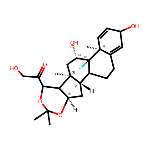 CC1(C)OC(C(=O)CO)C2[C@@H](C[C@H]3C4CCC5=CC(O)C=C[C@]5(C)[C@@]4(F)[C@@H](O)C[C@]23C)O1